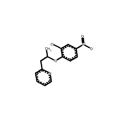 CC(Cc1ccccn1)Oc1ccc([N+](=O)[O-])cc1Cl